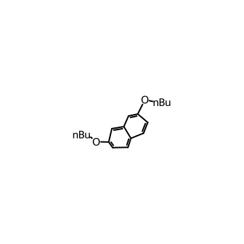 CCCCOc1ccc2ccc(OCCCC)cc2c1